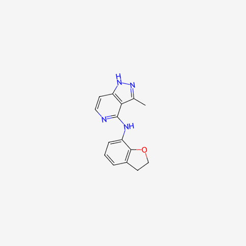 Cc1n[nH]c2ccnc(Nc3cccc4c3OCC4)c12